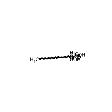 CCCCCCCCCCCCCCCCCCCCCN[C@@H](COP(=O)(O)O)C(=O)O